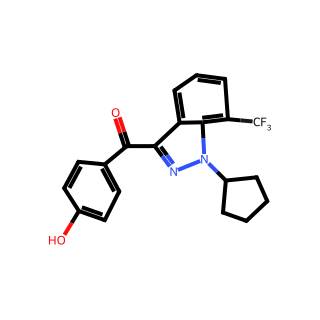 O=C(c1ccc(O)cc1)c1nn(C2CCCC2)c2c(C(F)(F)F)cccc12